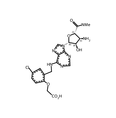 CNC(=O)[C@H]1O[C@@H](n2cnc3c(NCc4cc(Cl)ccc4OCC(=O)O)ncnc32)[C@H](O)[C@@H]1N